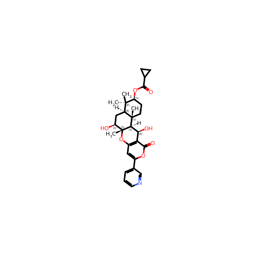 [CH2][C@]1(C)[C@@H](OC(=O)C2CC2)CC[C@]2(C)[C@H]3[C@@H](O)c4c(cc(-c5cccnc5)oc4=O)O[C@]3(C)[C@@H](O)C[C@@H]12